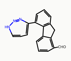 O=Cc1cccc2c1Cc1cccc(C3=CC=CNN=N3)c1-2